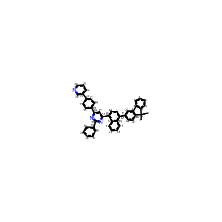 CC1(C)c2ccccc2-c2cc(-c3ccc(-c4cc(-c5ccc(-c6cccnc6)cc5)nc(-c5ccccc5)n4)c4ccccc34)ccc21